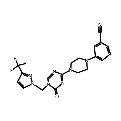 N#Cc1cccc(N2CCN(c3ncn(Cn4ccc(C(F)(F)F)n4)c(=O)n3)CC2)c1